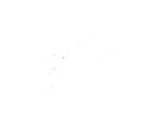 COC(=O)C1CCCN1P(=O)(OC[C@H]1O[C@@H](n2ccc(=O)[nH]c2=O)[C@](C)(F)[C@@H]1O)Oc1ccccc1